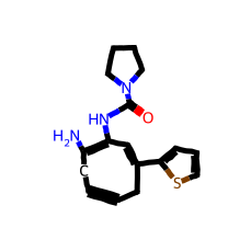 N/C1=C(NC(=O)N2CCCC2)/C=C(/c2cccs2)CC#CC1